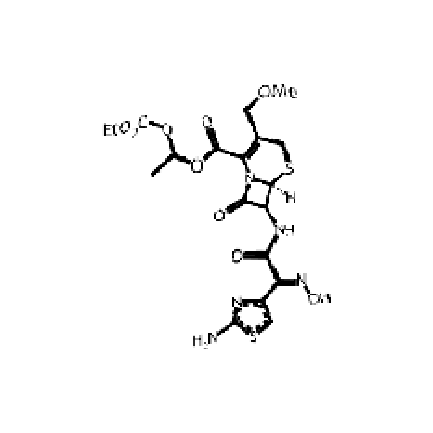 CCOC(=O)OC(C)OC(=O)C1=C(COC)CS[C@H]2C(NC(=O)C(=NO)c3csc(N)n3)C(=O)N12